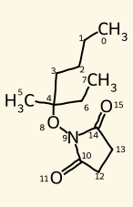 CCCCC(C)(CC)ON1C(=O)CCC1=O